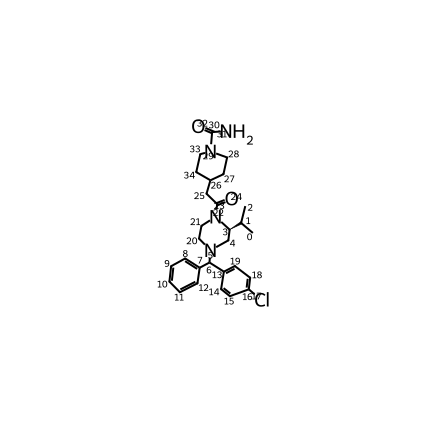 CC(C)[C@H]1CN(C(c2ccccc2)c2ccc(Cl)cc2)CCN1C(=O)CC1CCN(C(N)=O)CC1